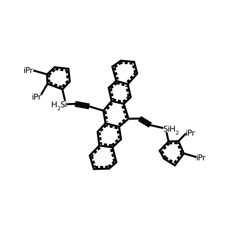 CC(C)c1cccc([SiH2]C#Cc2c3cc4ccccc4cc3c(C#C[SiH2]c3cccc(C(C)C)c3C(C)C)c3cc4ccccc4cc23)c1C(C)C